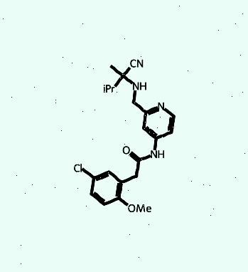 COc1ccc(Cl)cc1CC(=O)Nc1ccnc(CNC(C)(C#N)C(C)C)c1